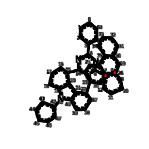 c1ccc(-c2nc(-c3ccccc3)nc(-c3cccc4c3c3c(-c5ccc6c(ccc7ccccc76)c5)cccc3n4-c3ccccc3)n2)cc1